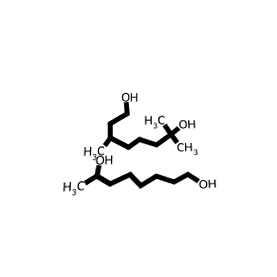 CC(CCO)CCCC(C)(C)O.CC(O)CCCCCCO